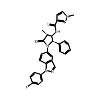 C[C@@H]1C(=O)N(c2ccc3c(cnn3-c3ccc(F)cc3)c2)[C@H](c2ccccc2)C1NC(=O)c1ccn(C)n1